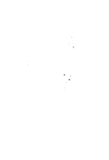 [c]1ccc(N2CCNc3ccccc32)cc1